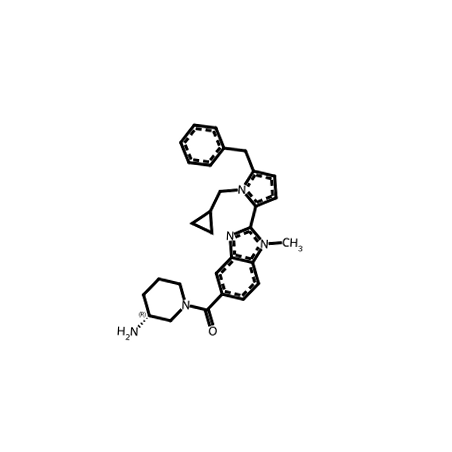 Cn1c(-c2ccc(Cc3ccccc3)n2CC2CC2)nc2cc(C(=O)N3CCC[C@@H](N)C3)ccc21